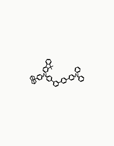 CC1(C)c2ccccc2-c2ccc(N(c3ccc(-c4cccc(-c5ccc(-c6ccc(N(c7ccccc7)c7ccccc7)cc6)cc5)c4)cc3)c3ccc(C45CC6CC4CC6C5)cc3)cc21